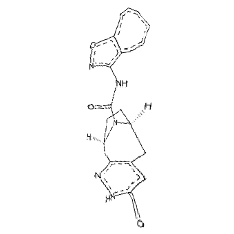 O=C(Nc1noc2ccccc12)N1[C@H]2CC[C@@H]1c1n[nH]c(=O)cc1C2